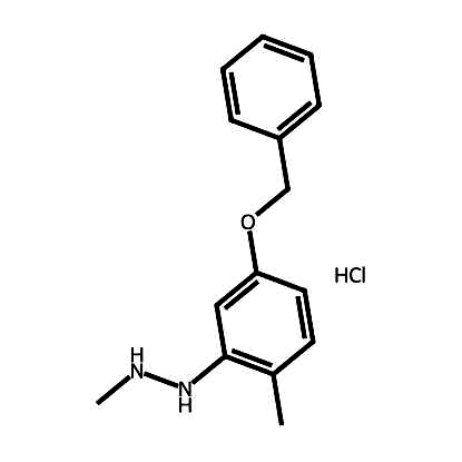 CNNc1cc(OCc2ccccc2)ccc1C.Cl